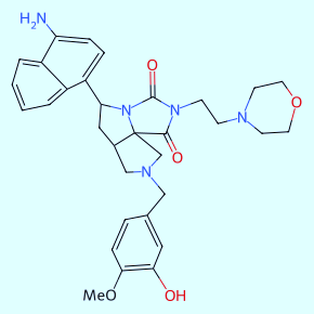 COc1ccc(CN2CC3CC(c4ccc(N)c5ccccc45)N4C(=O)N(CCN5CCOCC5)C(=O)C34C2)cc1O